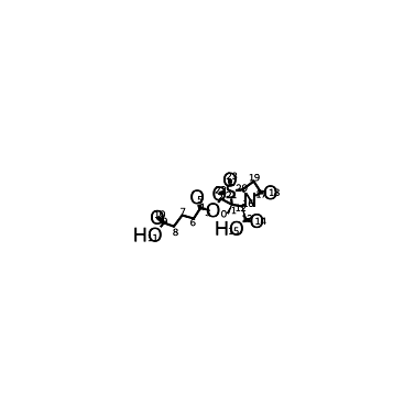 C[C@]1(COC(=O)CCCC(=O)O)[C@H](C(=O)O)N2C(=O)CC2S1(=O)=O